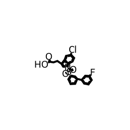 O=C(O)CCc1cn(S(=O)(=O)c2cccc(-c3cccc(F)c3)c2)c2ccc(Cl)cc12